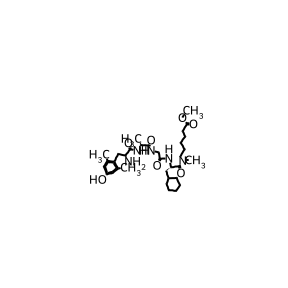 COC(=O)CCCCCN(C)C(=O)[C@H](CC1CCCCC1)NC(=O)CNC(=O)[C@@H](C)NC(=O)[C@@H](N)Cc1c(C)cc(O)cc1C